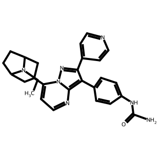 CCN1C2CCC1CC(c1ccnc3c(-c4ccc(NC(N)=O)cc4)c(-c4ccncc4)nn13)C2